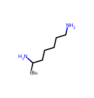 CC(C)(C)C(N)CCCCCN